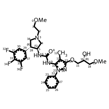 COCCN1C[C@@H](NC(=O)Nc2c(C)c(OC[C@H](O)COC)nn2-c2ccccc2)[C@H](c2cc(F)c(F)c(F)c2)C1